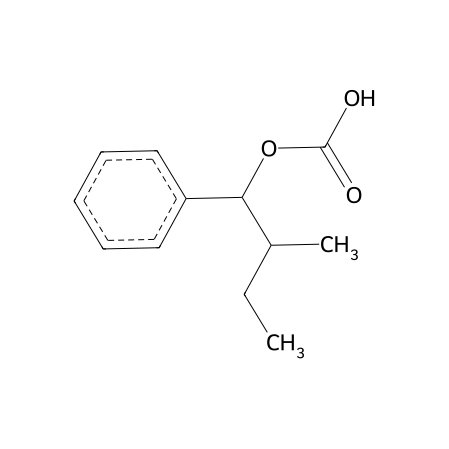 CCC(C)C(OC(=O)O)c1ccccc1